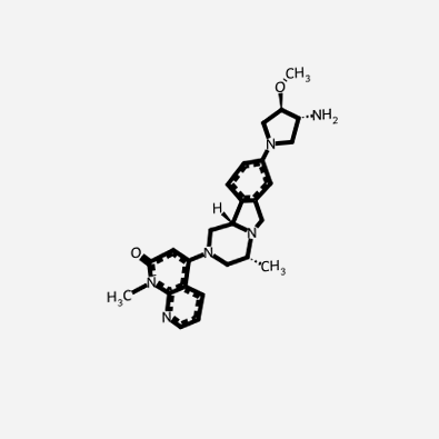 CO[C@@H]1CN(c2ccc3c(c2)CN2[C@H](C)CN(c4cc(=O)n(C)c5ncccc45)C[C@H]32)C[C@H]1N